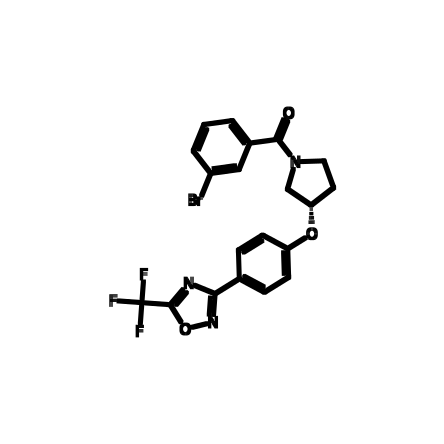 O=C(c1cccc(Br)c1)N1CC[C@H](Oc2ccc(-c3noc(C(F)(F)F)n3)cc2)C1